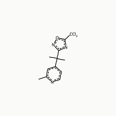 Cc1cc(C(C)(C)c2noc(C(Cl)(Cl)Cl)n2)ccn1